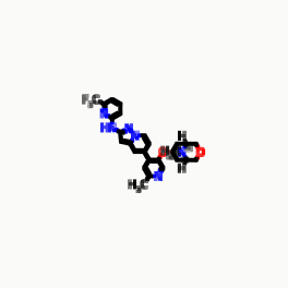 Cc1cc(-c2ccn3nc(Nc4cccc(C(F)(F)F)n4)cc3c2)c(O[C@H]2C[C@H]3COC[C@@H](C2)N3C)cn1